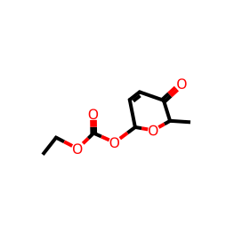 CCOC(=O)OC1C=CC(=O)C(C)O1